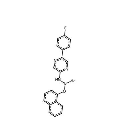 CC(=O)N(Nc1ncc(-c2ccc(F)cc2)nn1)Oc1ccnc2ccccc12